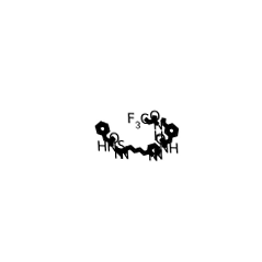 CC(NC(=O)CC(F)(F)F)c1cccc(CC(=O)Nc2ccc(CCCCc3nnc(NC(=O)Cc4ccccc4)s3)nn2)c1